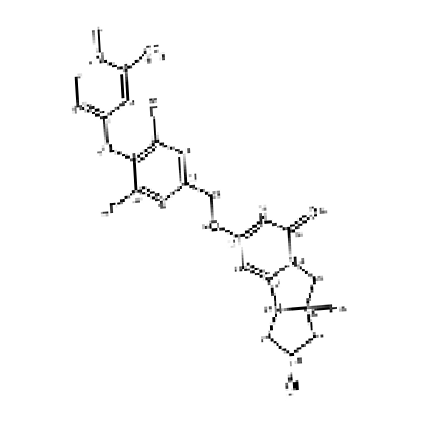 C=N/C(=C\C(=C/C)Oc1c(F)cc(COc2cc3n(c(=O)n2)C[C@@H]2C[C@H](O)CN32)cc1F)C(F)(F)F